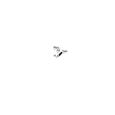 [Fe].[PbH2].[SiH3][TeH]